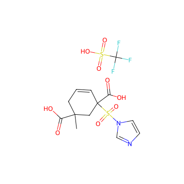 CC1(C(=O)O)CC=CC(C(=O)O)(S(=O)(=O)n2ccnc2)C1.O=S(=O)(O)C(F)(F)F